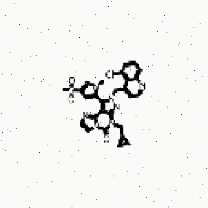 Cn1cc(S(C)(=O)=O)cc1-c1c2c(nn1Cc1ccnc3cccc(Cl)c13)n(CC1CC1)c(=O)n1ccnc21